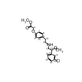 COC(=O)COc1ccc(CCNCC(OC)c2cccc(Cl)c2)cc1